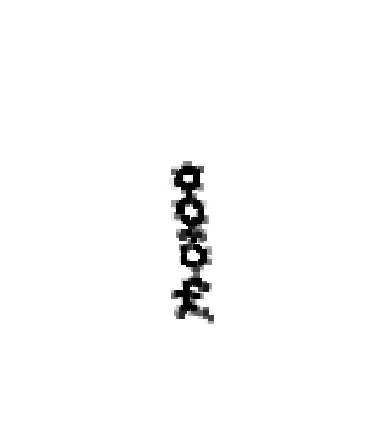 CC(C)([CH]C(=O)N1CCN(S(=O)(=O)c2ccc(-c3ccccc3)cc2)CC1)C(N)=O